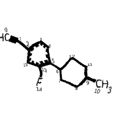 C#Cc1ccc(C2CCC(C)CC2)c(F)c1